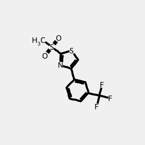 CS(=O)(=O)c1nc(-c2cccc(C(F)(F)F)c2)cs1